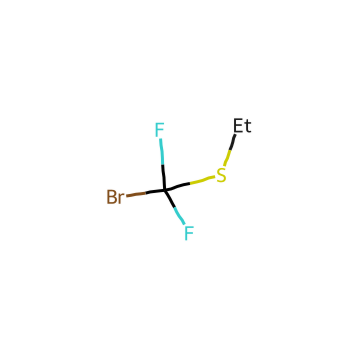 [CH2]CSC(F)(F)Br